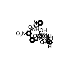 COc1c(CN2O[C@@H](CO)[C@@H]([C@H](C)O)[C@H]2C(=O)N[C@H]2C[C@H]3C[C@@H]([C@@H]2C)C3(C)C)cccc1-c1cc(C(=O)N[C@@H](Cc2ccccc2)CN(C)C)cc([N+](=O)[O-])c1